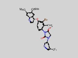 COc1cc2nccc(Oc3ccc(N4C(=O)CN(c5cncc(C(F)(F)F)c5)C4=O)c(C)c3Br)c2cc1OC